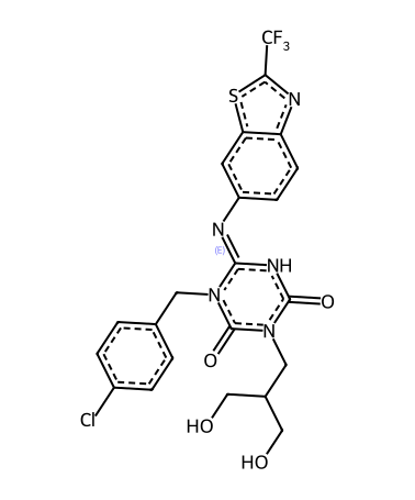 O=c1[nH]/c(=N\c2ccc3nc(C(F)(F)F)sc3c2)n(Cc2ccc(Cl)cc2)c(=O)n1CC(CO)CO